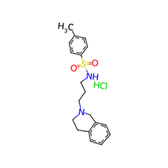 Cc1ccc(S(=O)(=O)NCCCN2CCc3ccccc3C2)cc1.Cl